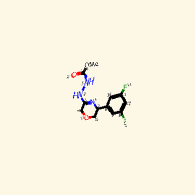 COC(=O)NNC1=NC(c2cc(F)cc(F)c2)COC1